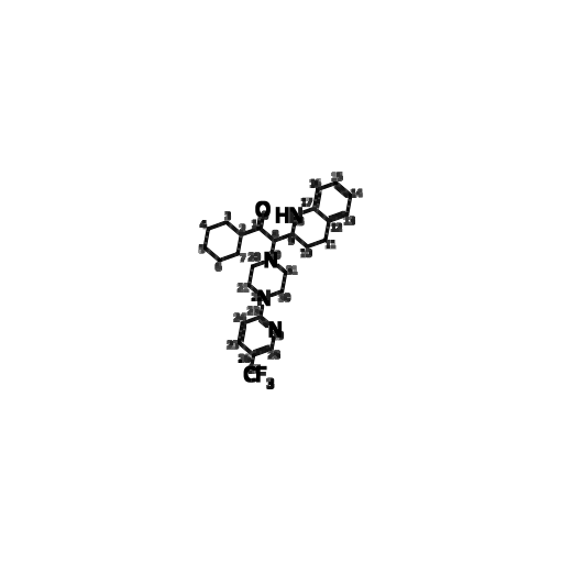 O=C(C1CCCCC1)C(C1CCc2ccccc2N1)N1CCN(c2ccc(C(F)(F)F)cn2)CC1